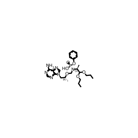 CCCOC(OCCC)[C@H](C)N(CO[C@H](C)Cn1cnc2c(N)ncnc21)P(=O)(O)Oc1ccccc1